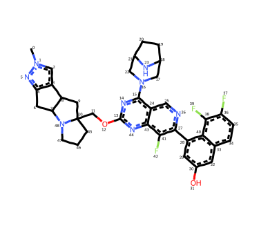 Cn1cc2c(n1)CC1C2CC2(COc3nc(N4CC5CCC(C4)N5)c4cnc(-c5cc(O)cc6ccc(F)c(F)c56)c(F)c4n3)CCCN12